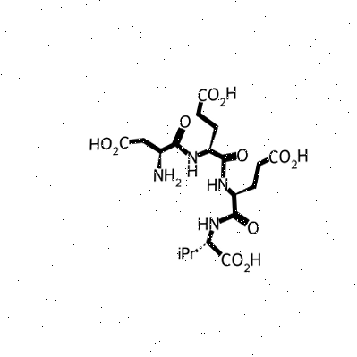 CC(C)[C@H](NC(=O)[C@H](CCC(=O)O)NC(=O)[C@H](CCC(=O)O)NC(=O)[C@@H](N)CC(=O)O)C(=O)O